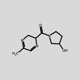 CC1=NCC(C(=O)N2CCC(O)C2)N=C1